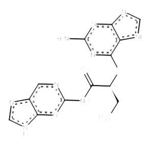 CC[C@H](Sc1nc(N)nc2nc[nH]c12)C(=O)Nc1ncc2nc[nH]c2n1